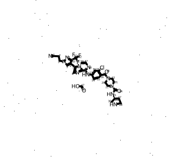 N#CCCn1cc(-c2cnc3c(Nc4ccc(C(=O)N5CCN(C(=O)N[C@H]6CCNC6)CC5)c(Cl)c4)nccn23)c(C(F)(F)F)n1.O=CO